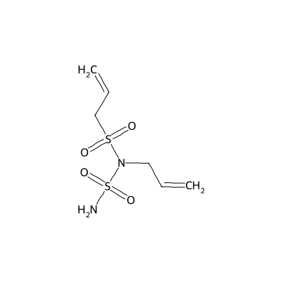 C=CCN(S(N)(=O)=O)S(=O)(=O)CC=C